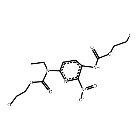 CCN(C(=O)OCCCl)c1ccc(NC(=O)OCCCl)c([N+](=O)[O-])n1